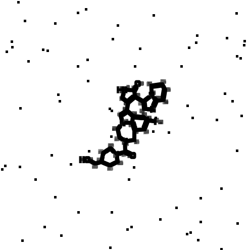 O=C1NCC(c2cn3c4c(cc(F)cc24)CN(C(=O)N2CCC(CO)CC2)CC3)=C1c1cnc2ccccn12